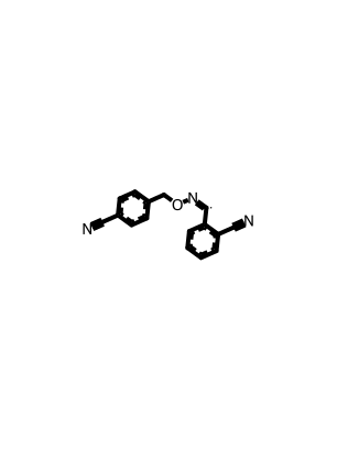 N#Cc1ccc(CO/N=[C]\c2ccccc2C#N)cc1